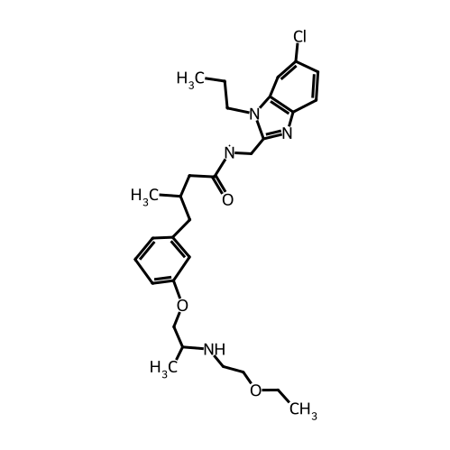 CCCn1c(C[N]C(=O)CC(C)Cc2cccc(OCC(C)NCCOCC)c2)nc2ccc(Cl)cc21